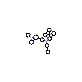 C1=CC2=C(CC1)C1(c3cc(N(c4ccc(C5=Cc6c7c(n(-c8ccccc8)c6CC=C5)C=CCC7)cc4)c4ccc(-c5ccccc5)cc4)ccc32)c2ccccc2-c2ccccc21